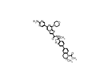 CC(=O)N1c2ccc(-c3ccc(C(C)(C)NC(=O)c4cn5cc(-c6cnc(N)nc6)nc(N6CCOCC6)c5n4)cc3)cc2CC[C@@H]1C